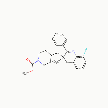 CC(C)(C)OC(=O)N1CCC(CC2(C(=O)O)Cc3cccc(F)c3N=C2c2ccccc2)CC1